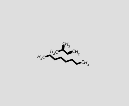 C=CC(=C)C.CCCCCCCC